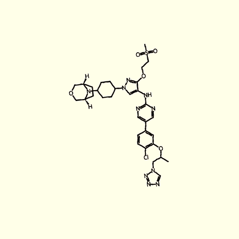 CC(Cn1cnnn1)Oc1cc(-c2cnc(Nc3cn(C4CCC(N5[C@@H]6CC[C@H]5COC6)CC4)nc3OCCS(C)(=O)=O)nc2)ccc1Cl